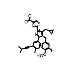 CC(C)C#Cc1cc(-c2nn(-c3nc(C(=O)O)cs3)c(CC3CC3)c2Cc2ccc(SO)c(F)c2)ccc1F